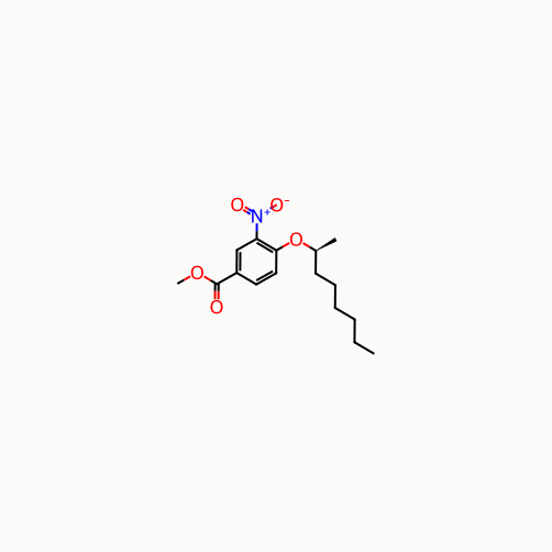 CCCCCC[C@H](C)Oc1ccc(C(=O)OC)cc1[N+](=O)[O-]